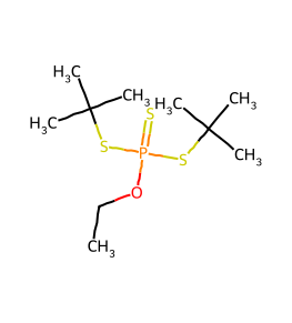 CCOP(=S)(SC(C)(C)C)SC(C)(C)C